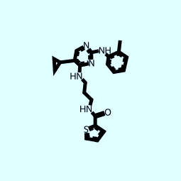 Cc1ccccc1Nc1ncc(C2CC2)c(NCCCNC(=O)c2cccs2)n1